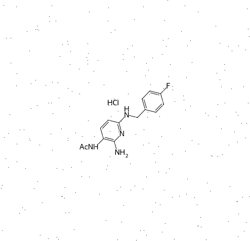 CC(=O)Nc1ccc(NCc2ccc(F)cc2)nc1N.Cl